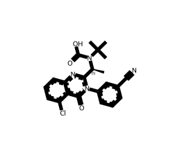 C[C@@H](c1nc2cccc(Cl)c2c(=O)n1-c1cccc(C#N)c1)N(C(=O)O)C(C)(C)C